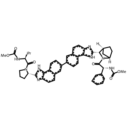 COC(=O)N[C@H](C(=O)N1CCC[C@H]1c1nc2ccc3cc(-c4ccc5c(ccc6nc([C@@H]7[C@H]8CC[C@H](C8)N7C(=O)[C@H](NC(=O)OC)c7ccccc7)[nH]c65)c4)ccc3c2[nH]1)C(C)C